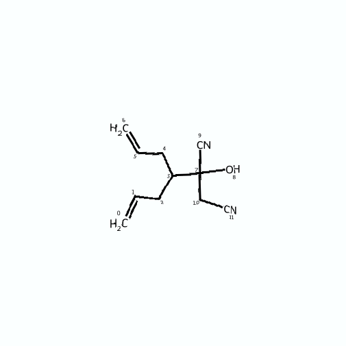 C=CCC(CC=C)C(O)(C#N)CC#N